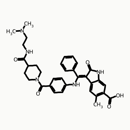 Cc1cc2c(cc1C(=O)O)NC(=O)C2=C(Nc1ccc(C(=O)N2CCC(C(=O)NCCN(C)C)CC2)cc1)c1ccccc1